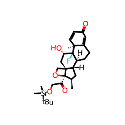 C[C@@H]1C[C@H]2[C@@H]3CCC4=CC(=O)C=C[C@]4(C)[C@@]3(F)[C@@H](O)C[C@@]23CO[C@]13C(=O)CO[Si](C)(C)C(C)(C)C